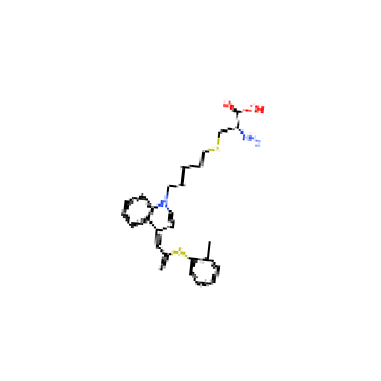 C=C(C=C1C=CN(CCCCCSCC(N)C(=O)O)c2ccccc21)Sc1ccccc1C